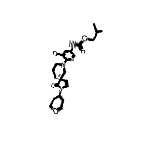 CC(C)COC(=O)Nc1cnc(N2CCC[C@@]3(CCN(C4CCOCC4)C3=O)C2)c(Cl)c1